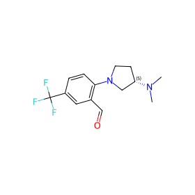 CN(C)[C@H]1CCN(c2ccc(C(F)(F)F)cc2C=O)C1